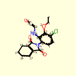 CCOc1c(Cl)ccc(N2C(=O)C3=C(CCCC3)C2=O)c1NC=C=O